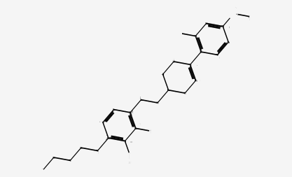 CCCCCc1ccc(CCC2CC=C(c3ccc(OC)cc3F)CC2)c(F)c1F